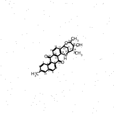 Cc1ccc2c3c(ccc2c1)C(=O)c1c(ccc2c1NC1CC2O[C@@H](C)[C@H](O)[C@@H]1C)C3=O